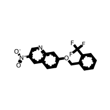 O=[N+]([O-])c1cnc2cc(OCc3ccccc3C(F)(F)F)ccc2c1